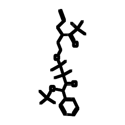 C=CCC(CCOC(C)(C)C(C)(C)C(=O)C(OC(C)(C)C)c1ccccc1)C(=O)C(C)(C)C